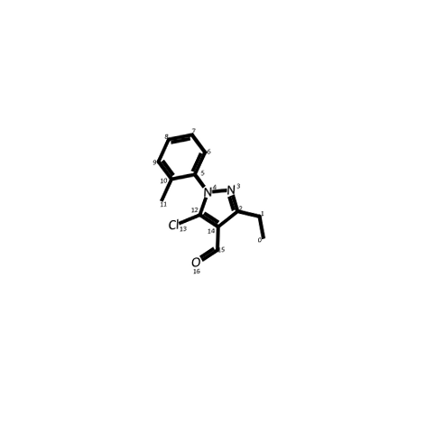 CCc1nn(-c2ccccc2C)c(Cl)c1C=O